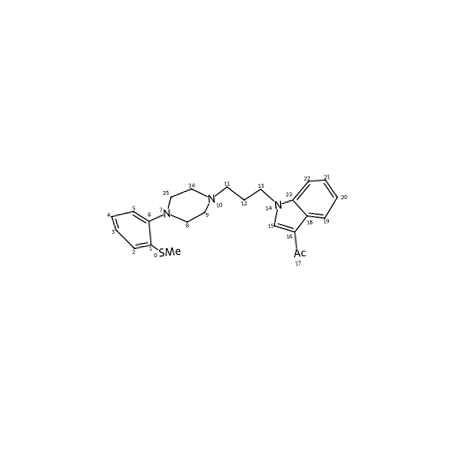 CSc1ccccc1N1CCN(CCCn2cc(C(C)=O)c3ccccc32)CC1